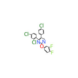 Fc1ccc(Oc2ncc(-c3ccc(Cl)cc3)c(-c3ccc(Cl)cc3Cl)n2)cc1F